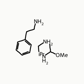 CC(C)CN.COC(C)N.NCCc1ccccc1